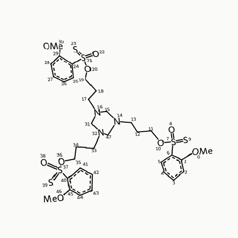 COc1ccccc1S(=O)(=S)OCCCN1CN(CCCOS(=O)(=S)c2ccccc2OC)CN(CCCOS(=O)(=S)c2ccccc2OC)C1